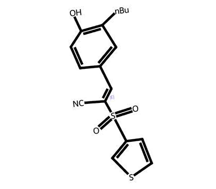 CCCCc1cc(/C=C(\C#N)S(=O)(=O)c2ccsc2)ccc1O